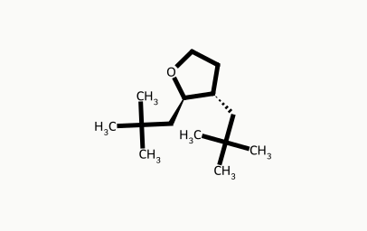 CC(C)(C)C[C@H]1CCO[C@@H]1CC(C)(C)C